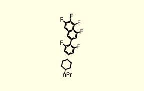 CCC[C@H]1CC[C@H](c2cc(F)c(-c3cc(F)c4c(F)c(F)c(F)cc4c3)c(F)c2)CC1